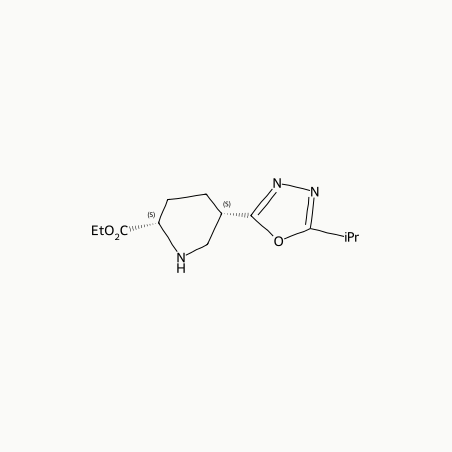 CCOC(=O)[C@@H]1CC[C@H](c2nnc(C(C)C)o2)CN1